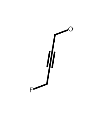 [O]CC#CCF